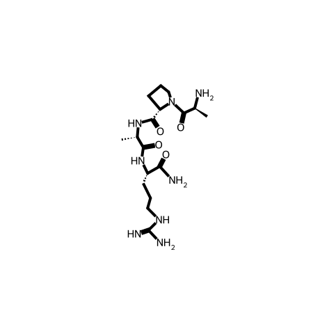 C[C@H](N)C(=O)N1CCC[C@H]1C(=O)N[C@@H](C)C(=O)N[C@@H](CCCNC(=N)N)C(N)=O